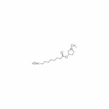 CCCCCCCCCCCCCCCCCC(=O)OC1C[CH]N(C)C1